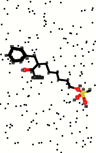 COC(=O)C(CCCCCCOS(C)(=O)=O)Cc1ccccc1